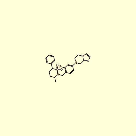 C[C@H]1CCC(c2ccccc2)S(=O)(=O)N1Cc1ccc(N2CCn3ccnc3C2)cc1F